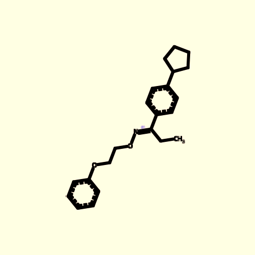 CC/C(=N\OCCOc1c[c]ccc1)c1ccc(C2CCCC2)cc1